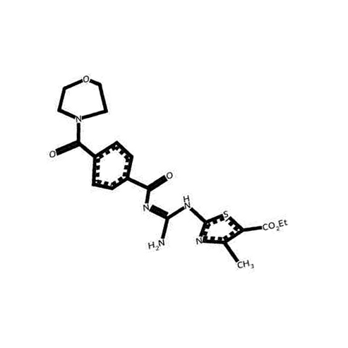 CCOC(=O)c1sc(NC(N)=NC(=O)c2ccc(C(=O)N3CCOCC3)cc2)nc1C